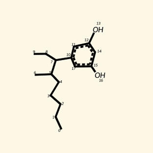 CCCCCC(C)C(CC)c1cc(O)cc(O)c1